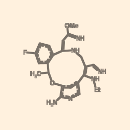 CCN/C1=C(\C=N)CN/C(=C\C(=N)OC)c2ccc(F)cc2C(C)Oc2cc1cnc2N